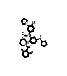 CCc1ccc(NC(=O)[C@H]2CCCN(C(=O)c3c(C)cccc3F)[C@H]2c2ccc(NC3CCCC3)cc2)cc1N1CCCC1